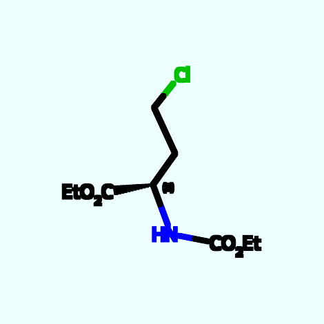 CCOC(=O)N[C@@H](CCCl)C(=O)OCC